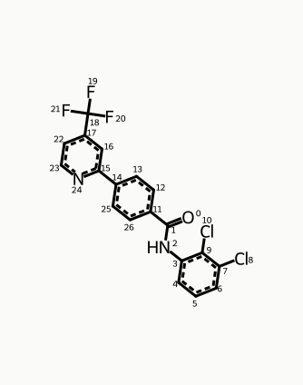 O=C(Nc1cccc(Cl)c1Cl)c1ccc(-c2cc(C(F)(F)F)ccn2)cc1